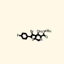 CCCCOC(=O)c1ncc2sc(-c3ccc(F)cc3)c(Br)c2c1O